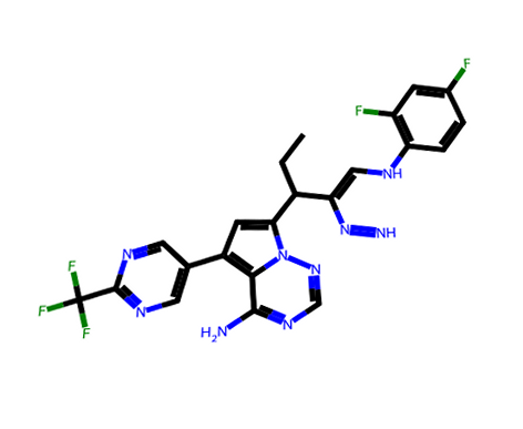 CCC(/C(=C/Nc1ccc(F)cc1F)N=N)c1cc(-c2cnc(C(F)(F)F)nc2)c2c(N)ncnn12